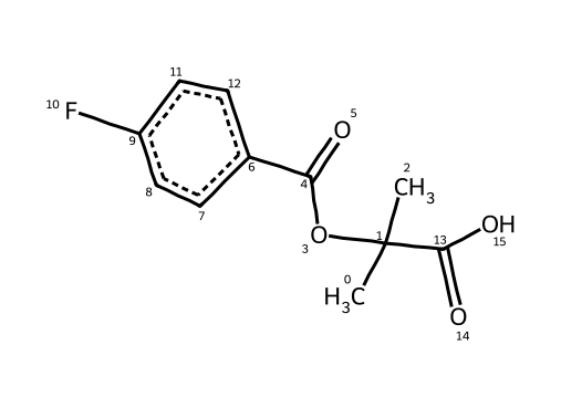 CC(C)(OC(=O)c1ccc(F)cc1)C(=O)O